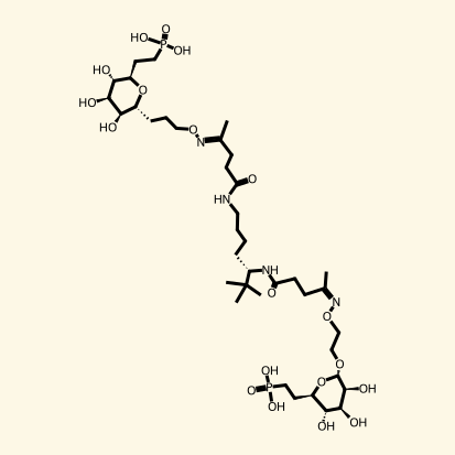 C/C(CCC(=O)N[C@@H](CCCCNC(=O)CC/C(C)=N/OCCC[C@H]1O[C@H](CCP(=O)(O)O)[C@@H](O)[C@H](O)[C@@H]1O)C(C)(C)C)=N/OCCO[C@H]1O[C@H](CCP(=O)(O)O)[C@@H](O)[C@H](O)[C@@H]1O